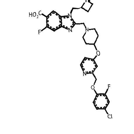 O=C(O)c1cc2c(cc1F)nc(CN1CCC(Oc3ccnc(COc4ccc(Cl)cc4F)c3)CC1)n2C[C@@H]1CCO1